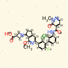 COc1nc(-c2ccc(F)c(-c3cccc(NC(=O)c4ccnn(C)c4=O)c3Cl)c2Cl)cc2c1C(N1CC(C(=O)O)C1)CC2